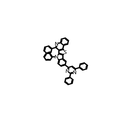 c1ccc(-c2cc(-c3ccc4c(c3)c3sc5c6ccccc6nc(-c6ccccc6)c5c3n4-c3ccccc3)nc(-c3ccccc3)n2)cc1